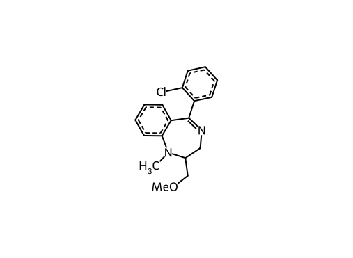 COCC1CN=C(c2ccccc2Cl)c2ccccc2N1C